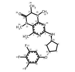 Cc1nc(N[C@H]2CC[C@H](Oc3cc(F)c(F)c(F)c3)C2)nc2c1N(C)C(=O)C(C)N2C